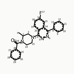 CC1CN(c2nnc(-c3ccccc3)c3cc(F)ccc23)CCN1C(=O)c1ccccc1